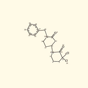 O=C1CC(N2CCCC(Cl)(Cl)C2=O)CCN1Cc1ccccc1